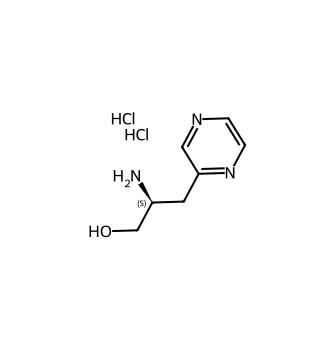 Cl.Cl.N[C@H](CO)Cc1cnccn1